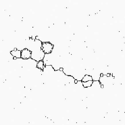 COC(=O)C12CCC(OCCOCCn3ncc(-c4ccc5c(c4)OCO5)c3-c3cccc(C)n3)(CC1)CC2